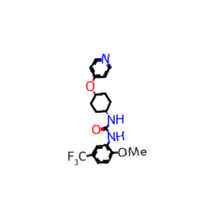 COc1ccc(C(F)(F)F)cc1NC(=O)N[C@H]1CC[C@H](Oc2ccncc2)CC1